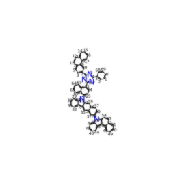 c1ccc(-c2nc(-c3ccc4ccc5ccccc5c4c3)nc(-c3ccc(-n4c5ccccc5c5cc6cc(-n7c8ccccc8c8c9ccccc9ccc87)ccc6cc54)c4ccccc34)n2)cc1